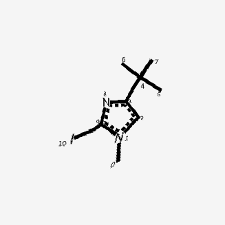 Cn1cc(C(C)(C)C)nc1I